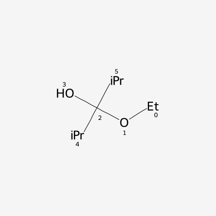 CCOC(O)(C(C)C)C(C)C